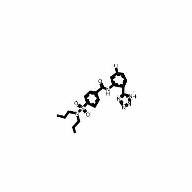 CCCN(CCC)S(=O)(=O)c1ccc(C(=O)Nc2cc(Cl)ccc2-c2nnn[nH]2)cc1